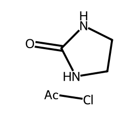 CC(=O)Cl.O=C1NCCN1